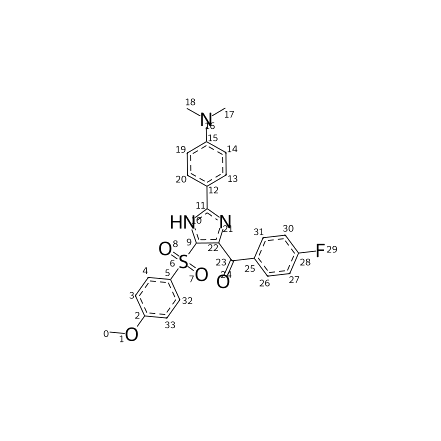 COc1ccc(S(=O)(=O)c2[nH]c(-c3ccc(N(C)C)cc3)nc2C(=O)c2ccc(F)cc2)cc1